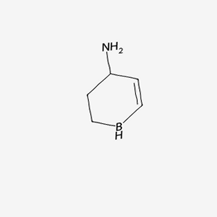 NC1C=CBCC1